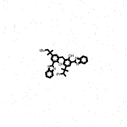 CC(C)C(C)C(C)(C)c1cc(Cc2cc(C(C)(C)CC(C)(C)C)cc(C3N=c4ccccc4=N3)c2O)c(O)c(C2N=c3ccccc3=N2)c1